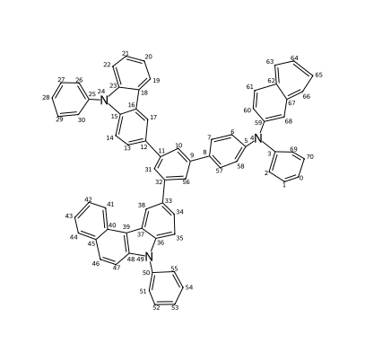 c1ccc(N(c2ccc(-c3cc(-c4ccc5c(c4)c4ccccc4n5-c4ccccc4)cc(-c4ccc5c(c4)c4c6ccccc6ccc4n5-c4ccccc4)c3)cc2)c2ccc3ccccc3c2)cc1